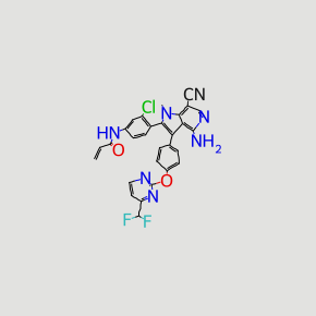 C=CC(=O)Nc1ccc(-c2c(-c3ccc(Oc4nccc(C(F)F)n4)cc3)c3c(N)ncc(C#N)c3n2C)c(Cl)c1